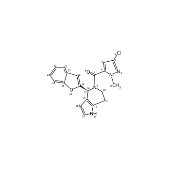 Cn1nc(Cl)cc1C(=O)N1CCc2[nH]cnc2[C@H]1c1cc2ccccc2o1